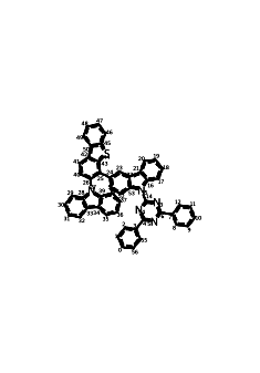 c1ccc(-c2nc(-c3ccccc3)nc(-n3c4ccccc4c4cc(-c5c(-n6c7ccccc7c7ccccc76)ccc6c5sc5ccccc56)ccc43)n2)cc1